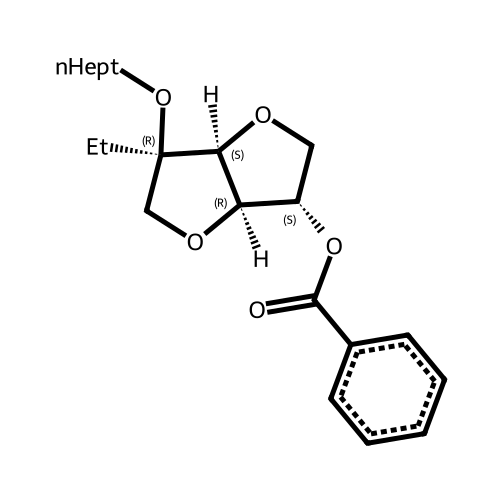 CCCCCCCO[C@]1(CC)CO[C@@H]2[C@@H](OC(=O)c3ccccc3)CO[C@@H]21